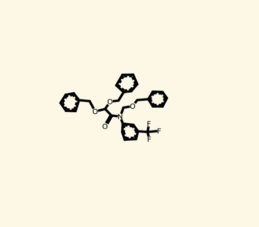 O=C(C(OCc1ccccc1)OCc1ccccc1)N(COCc1ccccc1)c1cccc(C(F)(F)F)c1